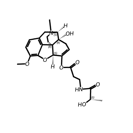 COc1ccc2c3c1O[C@@H]1C(OC(=O)CCNC(=O)[C@H](C)O)=CC[C@]4(O)[C@H](C2)N(C)CC[C@@]314